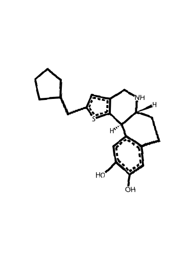 Oc1cc2c(cc1O)[C@H]1c3sc(CC4CCCC4)cc3CN[C@@H]1CC2